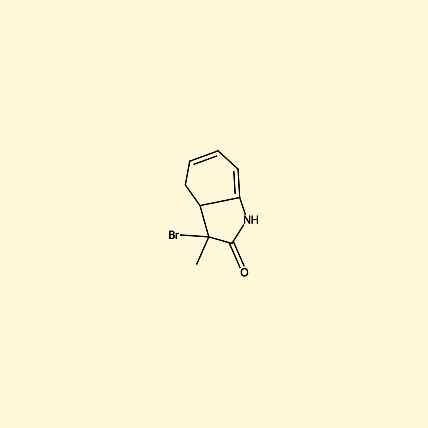 CC1(Br)C(=O)NC2=CC=CCC21